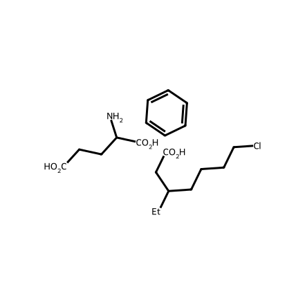 CCC(CCCCCl)CC(=O)O.NC(CCC(=O)O)C(=O)O.c1ccccc1